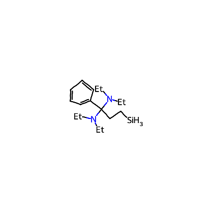 CCN(CC)C(CC[SiH3])(c1ccccc1)N(CC)CC